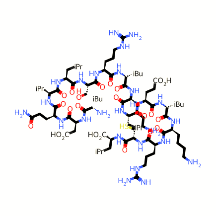 CC[C@H](C)[C@H](N)C(=O)N[C@@H](CC(=O)O)C(=O)N[C@@H](CCC(N)=O)C(=O)N[C@H](C(=O)N[C@@H](CC(C)C)C(=O)N[C@@H](CO)C(=O)N[C@@H](CCCNC(=N)N)C(=O)N[C@H](C(=O)N[C@@H](CCCCN)C(=O)N[C@@H](CC(C)C)C(=O)N[C@@H](CCC(=O)O)C(=O)N[C@H](C(=O)N[C@@H](CCCCN)C(=O)N[C@@H](CCCNC(=N)N)C(=O)N[C@@H](CS)C(=O)N[C@@H](CC(C)C)C(=O)O)[C@@H](C)CC)[C@@H](C)CC)C(C)C